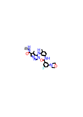 CCC(C)NC(=O)c1cn2ncnc(Nc3cc(NC(=O)c4cc(F)cc(N5CCOCC5)c4)ccc3C)c2c1C